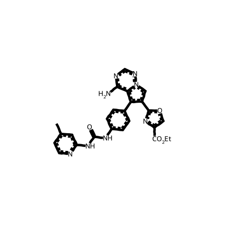 CCOC(=O)c1coc(-c2cn3ncnc(N)c3c2-c2ccc(NC(=O)Nc3cc(C)ccn3)cc2)n1